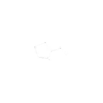 C=CC1=CCCN1